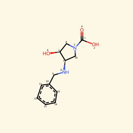 O=C(O)N1C[C@H](O)[C@H](NCc2ccccc2)C1